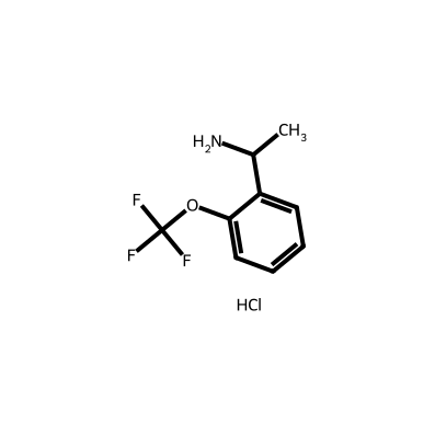 CC(N)c1ccccc1OC(F)(F)F.Cl